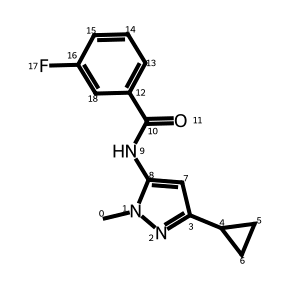 Cn1nc(C2CC2)cc1NC(=O)c1cccc(F)c1